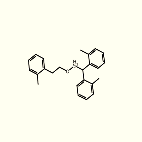 Cc1ccccc1CCO[SiH2]C(c1ccccc1C)c1ccccc1C